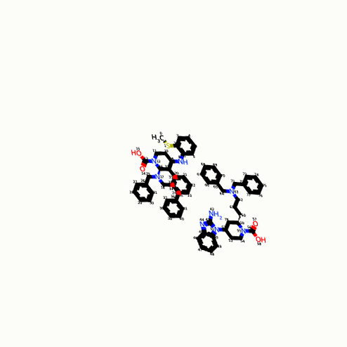 CSc1ccccc1NC1CCN(C(=O)O)[C@H](N(Cc2ccccc2)Cc2ccccc2)C1CCCc1ccccc1.Nc1nc2ccccc2n1C1CCN(C(=O)O)[C@@H](CCCN(Cc2ccccc2)Cc2ccccc2)C1